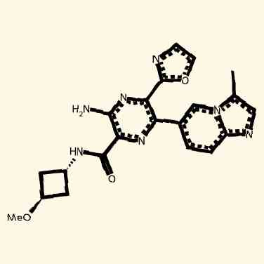 CO[C@H]1C[C@H](NC(=O)c2nc(-c3ccc4ncc(C)n4c3)c(-c3ncco3)nc2N)C1